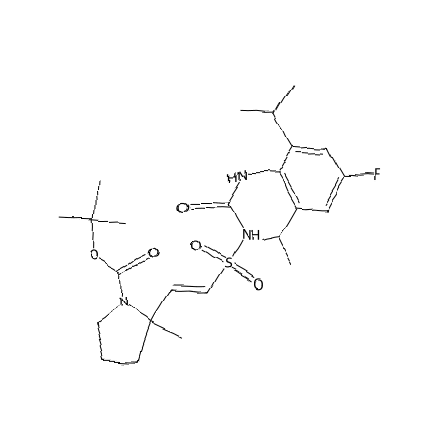 CC(C)c1cc(F)cc(C(C)C)c1NC(=O)NS(=O)(=O)C=CC1(C)CCCN1C(=O)OC(C)(C)C